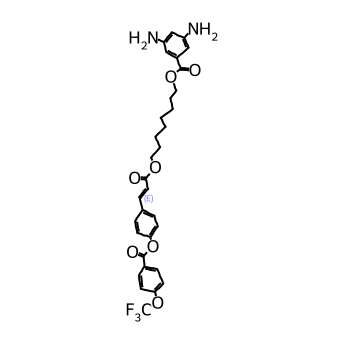 Nc1cc(N)cc(C(=O)OCCCCCCCCOC(=O)/C=C/c2ccc(OC(=O)c3ccc(OC(F)(F)F)cc3)cc2)c1